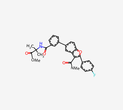 CNC(=O)c1c(-c2ccc(F)cc2)oc2ccc(-c3cccc(C(=O)NC(C)(C)C(=O)OC)c3)cc12